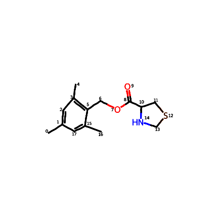 Cc1cc(C)c(COC(=O)C2CSCN2)c(C)c1